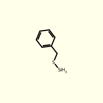 [SiH3]SCc1ccccc1